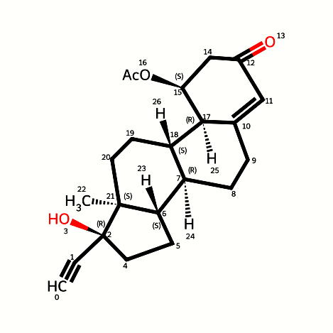 C#C[C@@]1(O)CC[C@H]2[C@@H]3CCC4=CC(=O)C[C@H](OC(C)=O)[C@@H]4[C@H]3CC[C@@]21C